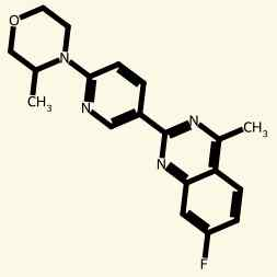 Cc1nc(-c2ccc(N3CCOCC3C)nc2)nc2cc(F)ccc12